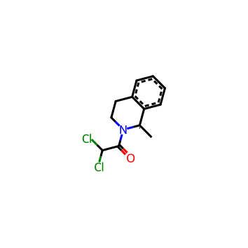 C[C]1c2ccccc2CCN1C(=O)C(Cl)Cl